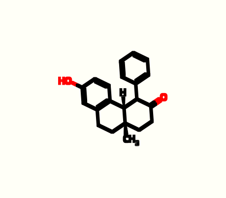 C[C@]12CCC(=O)C(c3ccccc3)[C@@H]1c1ccc(O)cc1CC2